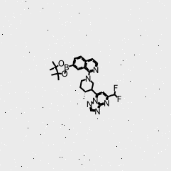 C[C@@H]1CCN(c2nccc3ccc(B4OC(C)(C)C(C)(C)O4)cc23)CC1c1cc(C(F)F)nc2ncnn12